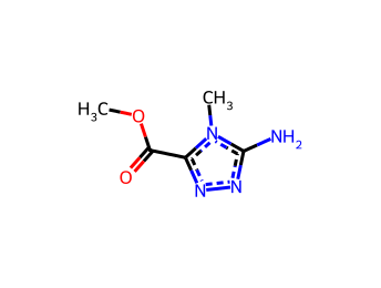 COC(=O)c1nnc(N)n1C